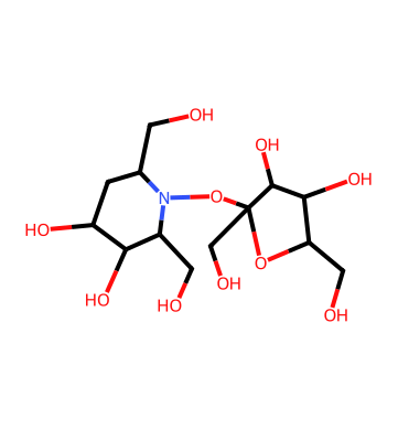 OCC1OC(CO)(ON2C(CO)CC(O)C(O)C2CO)C(O)C1O